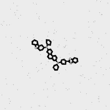 c1ccc(N(c2ccc(-c3nc4ccccc4o3)cc2)c2ccc3c(ccc4cc(N(c5ccccc5)c5ccc6oc7ccccc7c6c5)ccc43)c2)cc1